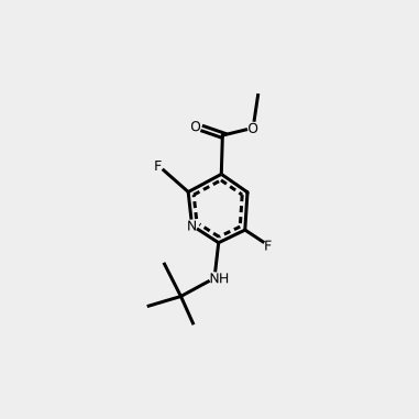 COC(=O)c1cc(F)c(NC(C)(C)C)nc1F